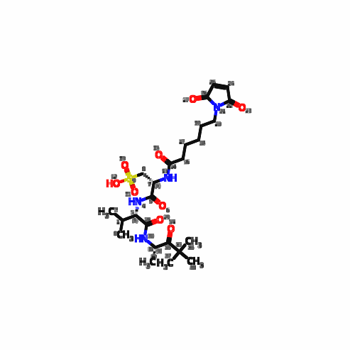 CC(C)[C@H](NC(=O)[C@H](CS(=O)(=O)O)NC(=O)CCCCCN1C(=O)C=CC1=O)C(=O)N[C@@H](C)C(=O)C(C)(C)C